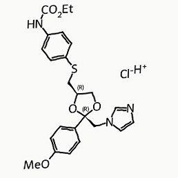 CCOC(=O)Nc1ccc(SC[C@H]2CO[C@](Cn3ccnc3)(c3ccc(OC)cc3)O2)cc1.[Cl-].[H+]